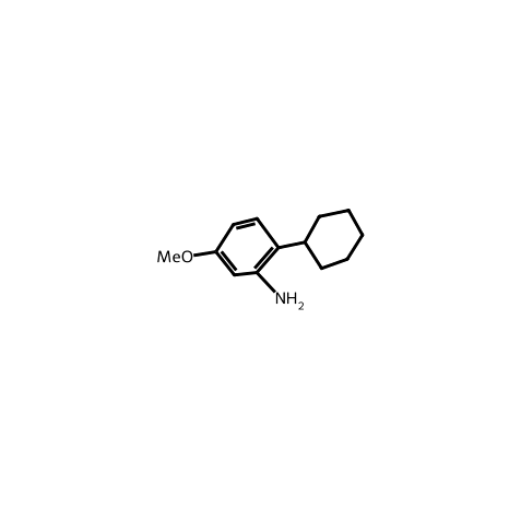 COc1ccc(C2CCCCC2)c(N)c1